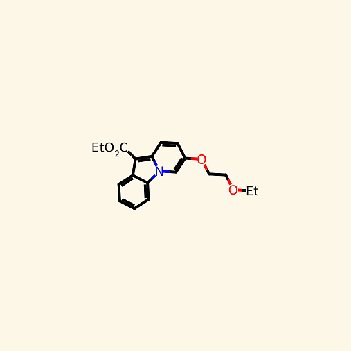 CCOCCOc1ccc2c(C(=O)OCC)c3ccccc3n2c1